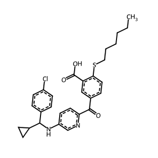 CCCCCCSc1ccc(C(=O)c2ccc(NC(c3ccc(Cl)cc3)C3CC3)cn2)cc1C(=O)O